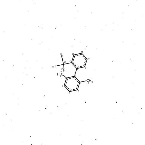 Cc1[c]ccc(C)c1-c1ccccc1C(F)(F)F